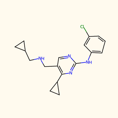 Clc1cccc(Nc2ncc(CNCC3CC3)c(C3CC3)n2)c1